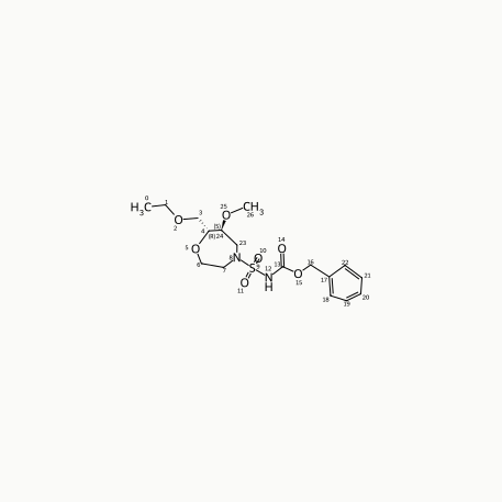 CCOC[C@H]1OCCN(S(=O)(=O)NC(=O)OCc2ccccc2)C[C@@H]1OC